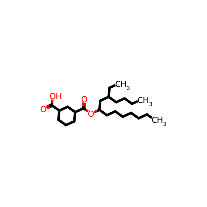 CCCCCCCC(CC(CC)CCCC)OC(=O)C1CCCC(C(=O)O)C1